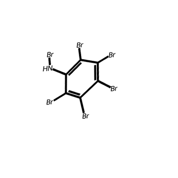 BrNc1c(Br)c(Br)c(Br)c(Br)c1Br